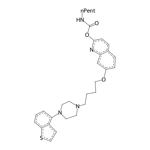 CCCCCNC(=O)Oc1ccc2ccc(OCCCCN3CCN(c4cccc5sccc45)CC3)cc2n1